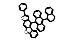 C1=C(c2c3ccccc3c(-c3c4cc(-c5ccccc5)sc4cc4oc5ccccc5c34)c3ccccc23)c2ccccc2CC1